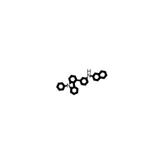 c1ccc(-n2c3ccccc3c3c(-c4cccc(Nc5ccc6ccccc6c5)c4)cccc32)cc1